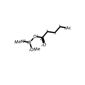 CNB(OC)OC(=O)CCCC(C)=O